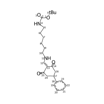 CC(C)(C)OC(=O)NCCCCCCNC=C1C(=O)CC(c2ccccc2)CC1=O